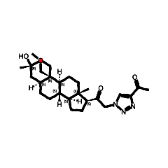 COC[C@]12CC[C@@](C)(O)C[C@@H]1CC[C@H]1[C@@H]3CC[C@H](C(=O)Cn4cc(C(C)=O)nn4)[C@@]3(C)CC[C@@H]12